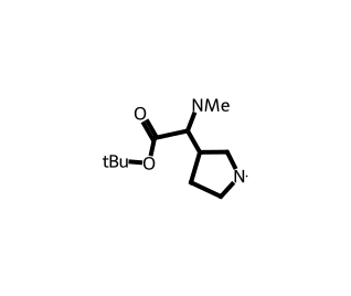 CNC(C(=O)OC(C)(C)C)C1CC[N]C1